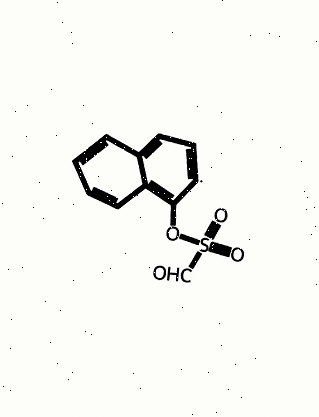 O=CS(=O)(=O)Oc1[c]ccc2ccccc12